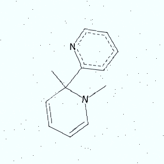 CN1C=CC=CC1(C)c1ccccn1